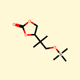 CC(C)(CO[Si](C)(C)C)C1COC(=O)O1